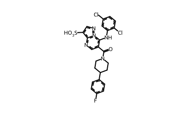 O=C(c1cnc2c(S(=O)(=O)O)cnn2c1Nc1cc(Cl)ccc1Cl)N1CCC(c2ccc(F)cc2)CC1